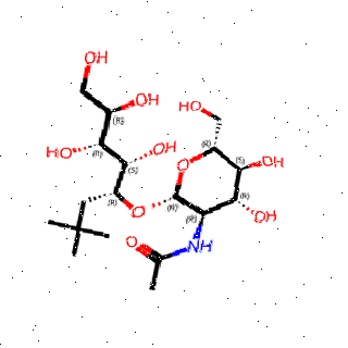 CC(=O)N[C@H]1[C@H](O[C@H](CC(C)(C)C)[C@@H](O)[C@H](O)[C@H](O)CO)O[C@H](CO)[C@@H](O)[C@@H]1O